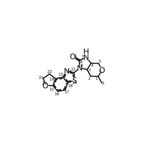 CC1CC2C(CO1)NC(=O)N2c1nc2c3c(ccc2s1)OCC3